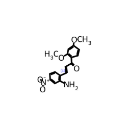 COc1ccc(C(=O)/C=C/c2ccc([N+](=O)[O-])cc2N)c(OC)c1